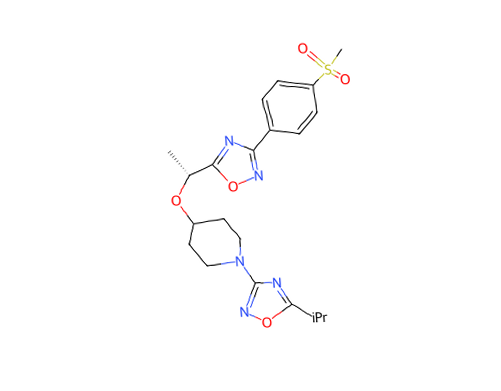 CC(C)c1nc(N2CCC(O[C@H](C)c3nc(-c4ccc(S(C)(=O)=O)cc4)no3)CC2)no1